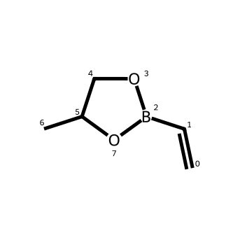 C=CB1OCC(C)O1